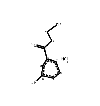 Cl.O=C(CCCl)c1cccc(F)c1